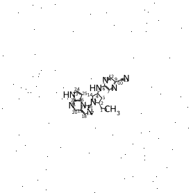 CC[C@@H]1C[C@H](Nc2cnc(C#N)cn2)CN1c1ncc2cnc3[nH]ccc3n12